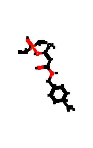 COP(=O)(OC)OC(C)=CC(=O)OCc1ccc([N+](=O)[O-])cc1